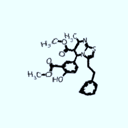 COC(=O)C1=C(C)N=C2SC=C(CCc3ccccc3)N2C1c1ccc(O)c(C(=O)OC)c1